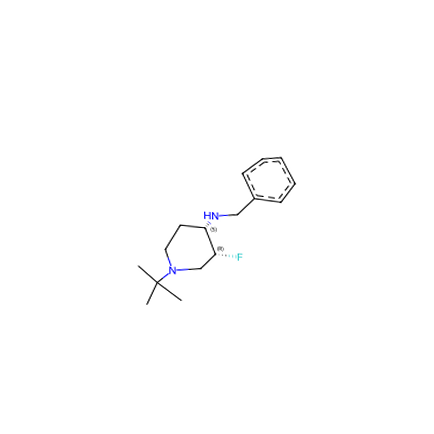 CC(C)(C)N1CC[C@H](NCc2ccccc2)[C@H](F)C1